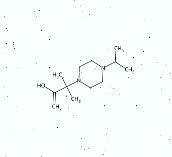 C=C(O)C(C)(C)N1CCN(C(C)C)CC1